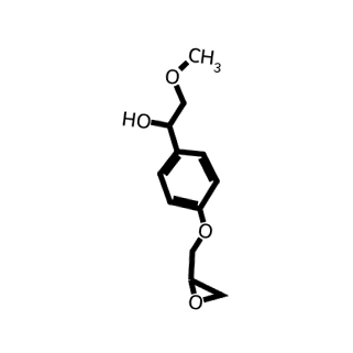 COCC(O)c1ccc(OCC2CO2)cc1